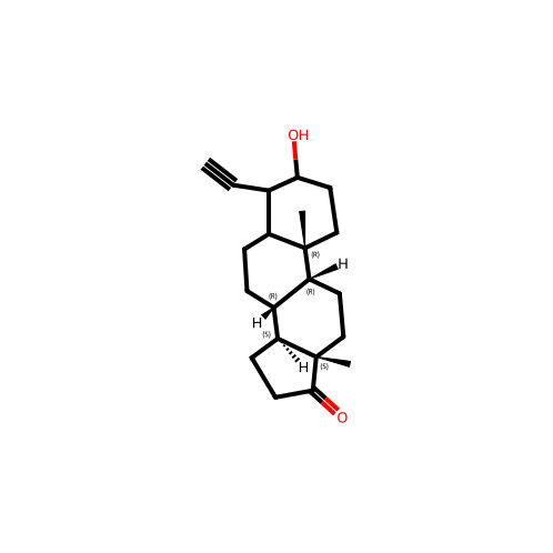 C#CC1C(O)CC[C@@]2(C)C1CC[C@@H]1[C@H]2CC[C@]2(C)C(=O)CC[C@@H]12